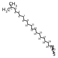 CC(C)CCCCCCCCCCCCCCCCCCN=C=S